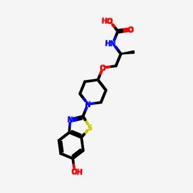 C[C@@H](COC1CCN(c2nc3ccc(O)cc3s2)CC1)NC(=O)O